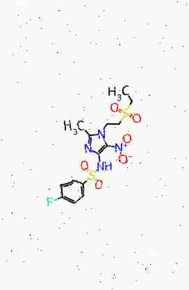 CCS(=O)(=O)CCn1c(C)nc(NS(=O)(=O)c2ccc(F)cc2)c1[N+](=O)[O-]